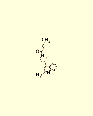 CCC=CC(=O)N1CCN(c2cc(C)nc3ccccc23)CC1